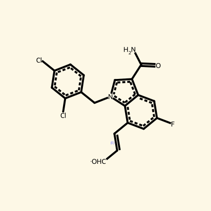 NC(=O)c1cn(Cc2ccc(Cl)cc2Cl)c2c(/C=C/[C]=O)cc(F)cc12